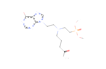 CCOP(=O)(CCN(CCCC(=O)OC)CCn1cnc2c(O)ncnc21)OCC